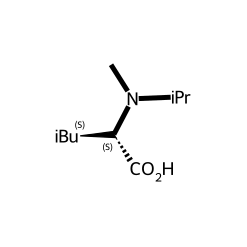 CC[C@H](C)[C@@H](C(=O)O)N(C)C(C)C